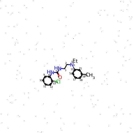 CCN(CCNC(=O)Nc1ccccc1Cl)c1cccc(C)c1